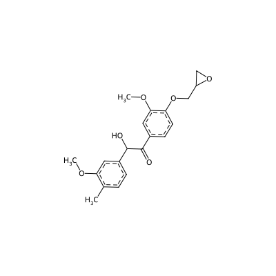 COc1cc(C(O)C(=O)c2ccc(OCC3CO3)c(OC)c2)ccc1C